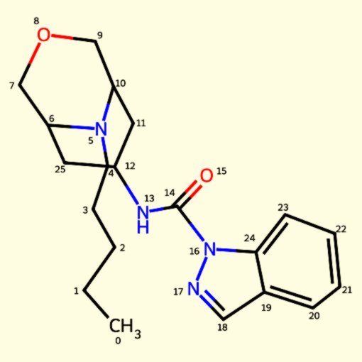 CCCCCN1C2COCC1CC(NC(=O)n1ncc3ccccc31)C2